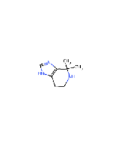 CC1(C)NCCc2[nH]cnc21